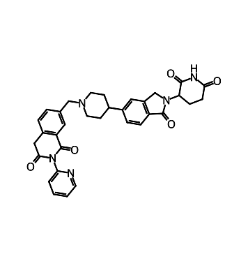 O=C1CCC(N2Cc3cc(C4CCN(Cc5ccc6c(c5)C(=O)N(c5ccccn5)C(=O)C6)CC4)ccc3C2=O)C(=O)N1